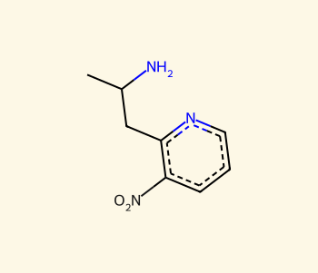 CC(N)Cc1ncccc1[N+](=O)[O-]